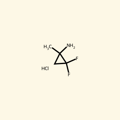 CC1(N)CC1(F)F.Cl